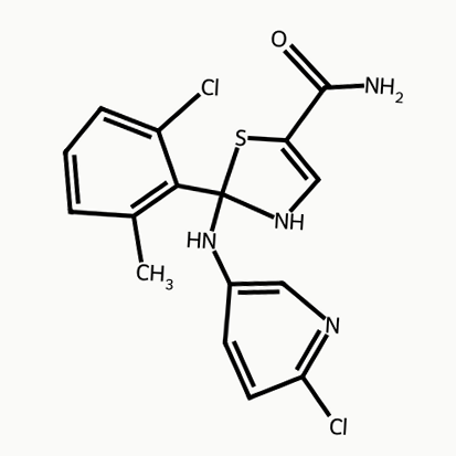 Cc1cccc(Cl)c1C1(Nc2ccc(Cl)nc2)NC=C(C(N)=O)S1